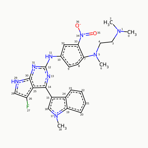 CN(C)CCN(C)c1ccc(Nc2nc(-c3cn(C)c4ccccc34)c3c(F)c[nH]c3n2)cc1[N+](=O)[O-]